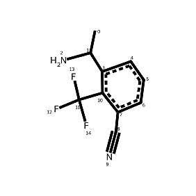 CC(N)c1cccc(C#N)c1C(F)(F)F